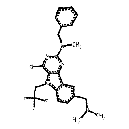 CN(C)Cc1ccc2c(c1)c1nc(N(C)Cc3ccccc3)nc(Cl)c1n2CC(F)(F)F